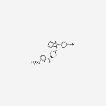 COc1cccc(C(=O)N2CCN(Cc3c(-c4ccc(C#N)cc4)nc4ccccn34)CC2)n1